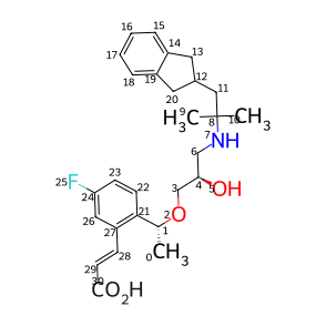 C[C@@H](OC[C@H](O)CNC(C)(C)CC1Cc2ccccc2C1)c1ccc(F)cc1/C=C/C(=O)O